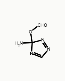 NC1(OC=O)N=CN=N1